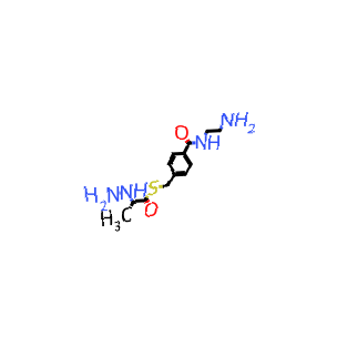 CC(NN)C(=O)SCc1ccc(C(=O)NCCN)cc1